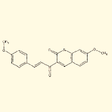 COc1ccc(C=CC(=O)c2cc3ccc(OC)cc3sc2=O)cc1